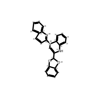 [C]1=C(C2Oc3ccccc3O2)Nc2ccccc2N1c1ccc2ccccc2n1